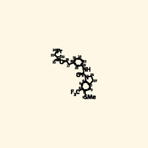 CSc1cc2c(cc1C(F)(F)F)N(C(=O)Nc1cccc(CCO[Si](C)(C)CC(C)C)c1)CC2